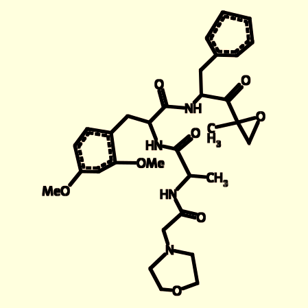 COc1ccc(CC(NC(=O)C(C)NC(=O)CN2CCOCC2)C(=O)NC(Cc2ccccc2)C(=O)C2(C)CO2)c(OC)c1